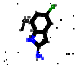 CC(=O)O.Nc1cc2cc(Cl)ccc2[nH]1